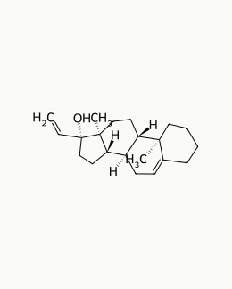 C=C[C@]1(O)CC[C@H]2[C@@H]3CC=C4CCCC[C@]4(C)[C@H]3CC[C@@]21C